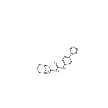 O=C(Nc1ccc(-n2ccnc2)cc1)NC12CC3CCCC(C3)(C1)C2